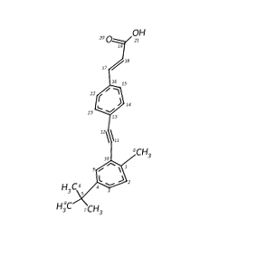 Cc1ccc(C(C)(C)C)cc1C#Cc1ccc(C=CC(=O)O)cc1